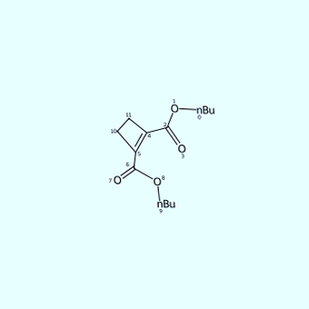 CCCCOC(=O)C1=C(C(=O)OCCCC)CC1